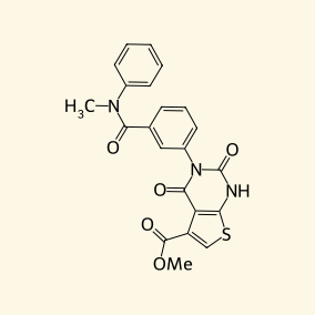 COC(=O)c1csc2[nH]c(=O)n(-c3cccc(C(=O)N(C)c4ccccc4)c3)c(=O)c12